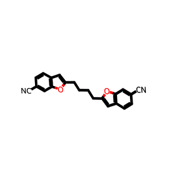 N#Cc1ccc2cc(CCCCc3cc4ccc(C#N)cc4o3)oc2c1